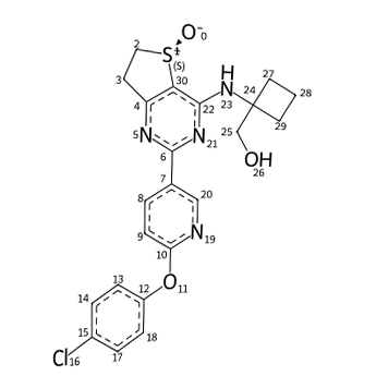 [O-][S@+]1CCc2nc(-c3ccc(Oc4ccc(Cl)cc4)nc3)nc(NC3(CO)CCC3)c21